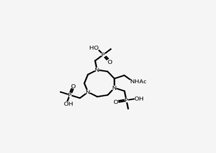 CC(=O)NCC1CN(CP(C)(=O)O)CCN(CP(C)(=O)O)CCN1CP(C)(=O)O